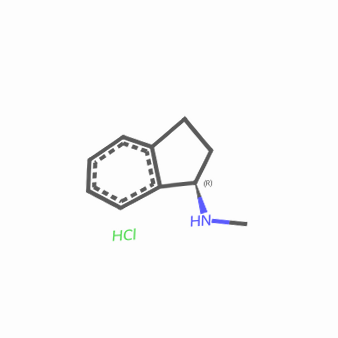 CN[C@@H]1CCc2ccccc21.Cl